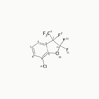 FC(F)(F)C1(F)c2cccc(Cl)c2OC1(F)F